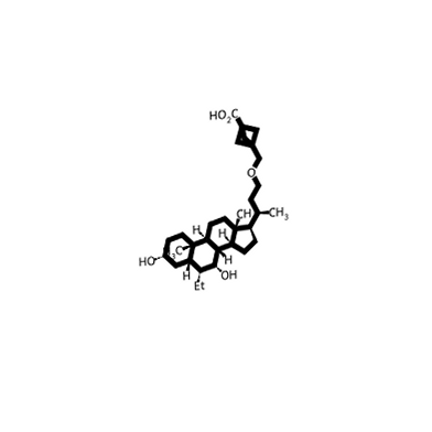 CC[C@H]1[C@@H](O)[C@@H]2[C@H](CC[C@]3(C)[C@@H]([C@H](C)CCOCC45CC(C(=O)O)(C4)C5)CC[C@@H]23)[C@@]2(C)CC[C@@H](O)C[C@@H]12